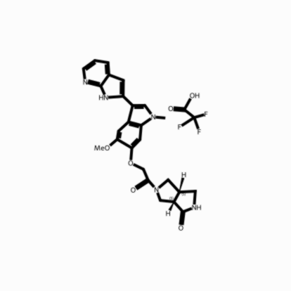 COc1cc2c(-c3cc4cccnc4[nH]3)cn(C)c2cc1OCC(=O)N1C[C@@H]2CNC(=O)[C@@H]2C1.O=C(O)C(F)(F)F